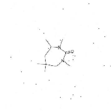 CC1CC(C)(C)CN(C)C(=O)N1C